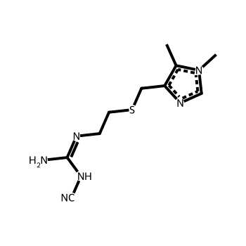 Cc1c(CSCCN=C(N)NC#N)ncn1C